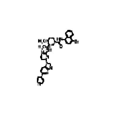 C[C@H](Nc1nccc(-n2cnc3cc(-c4ccncc4)ccc32)n1)[C@@H]1CN(C(=O)Nc2ccc(Br)c3ccccc23)CCN1C